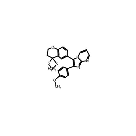 COc1ccc(-c2nc3ncccn3c2-c2ccc3c(c2)C(SC)(SC)CCO3)cc1